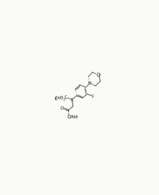 CCOC(=O)N(CC(=O)OC)c1ccc(N2CCOCC2)c(F)c1